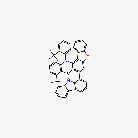 CC(C)(C)c1ccccc1N1c2cccc(C(C)(C)C)c2B2c3c(cc4oc5ccccc5c4c31)-c1cccc3c4ccccc4n2c13